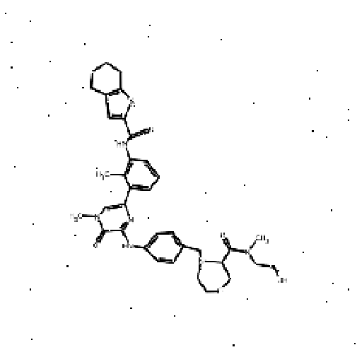 Cc1c(NC(=O)c2cc3c(s2)CCCC3)cccc1-c1cn(C)c(=O)c(Nc2ccc(CN3CCOCC3C(=O)N(C)CCO)cc2)n1